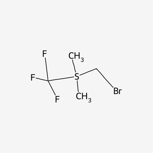 CS(C)(CBr)C(F)(F)F